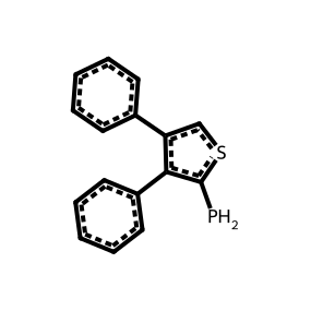 Pc1scc(-c2ccccc2)c1-c1ccccc1